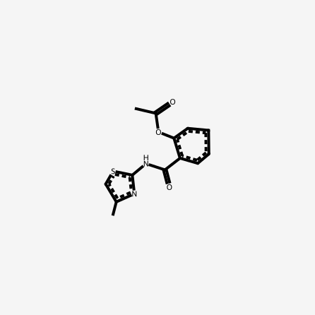 CC(=O)Oc1ccccc1C(=O)Nc1nc(C)cs1